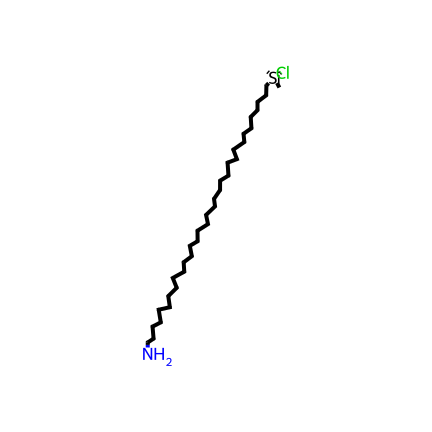 C[Si](C)(Cl)CCCCCCCCCCCCCCCCCCCCCCCCCCCCCCCCCN